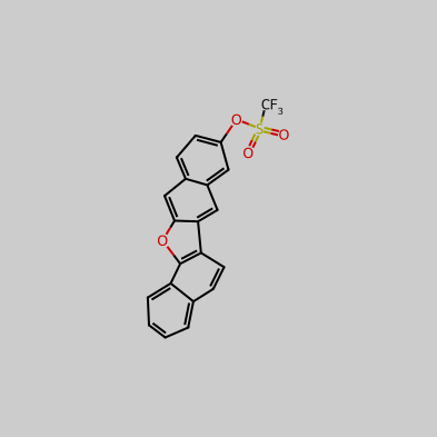 O=S(=O)(Oc1ccc2cc3oc4c5ccccc5ccc4c3cc2c1)C(F)(F)F